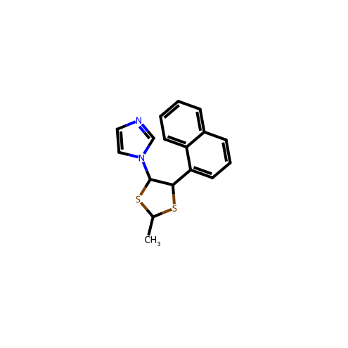 CC1SC(c2cccc3ccccc23)C(n2ccnc2)S1